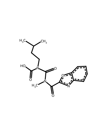 CC(C)CCN(C(=O)O)C(=O)N(C)C(=O)c1nc2ccccc2o1